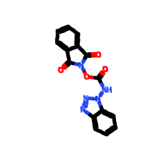 O=C(Nn1nnc2ccccc21)ON1C(=O)c2ccccc2C1=O